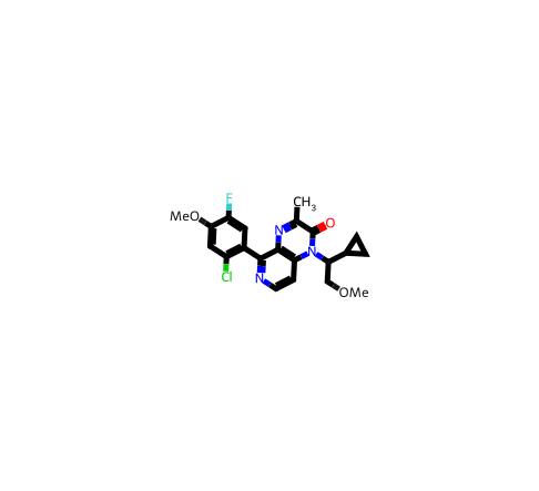 COCC(C1CC1)n1c(=O)c(C)nc2c(-c3cc(F)c(OC)cc3Cl)nccc21